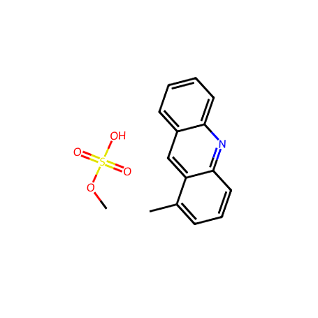 COS(=O)(=O)O.Cc1cccc2nc3ccccc3cc12